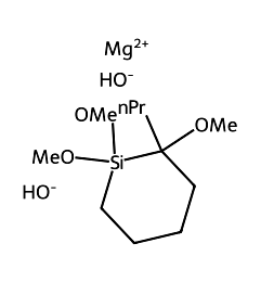 CCCC1(OC)CCCC[Si]1(OC)OC.[Mg+2].[OH-].[OH-]